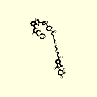 O=C1CCC(N2C(=O)c3ccc(NCCOCCOCCOCCC(=O)N4CCC(n5cc(-c6cnc7cccc(-c8cc(F)c(CN9CCOCC9)c(F)c8)c7n6)cn5)CC4)cc3C2=O)C(=O)N1